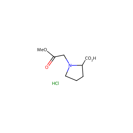 COC(=O)CN1CCCC1C(=O)O.Cl